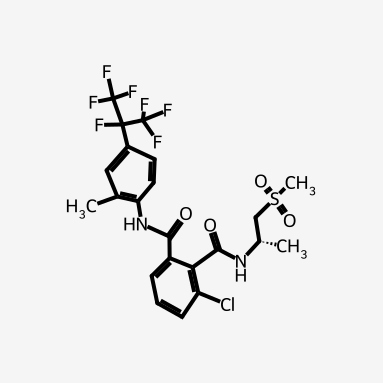 Cc1cc(C(F)(C(F)(F)F)C(F)(F)F)ccc1NC(=O)c1cccc(Cl)c1C(=O)N[C@@H](C)CS(C)(=O)=O